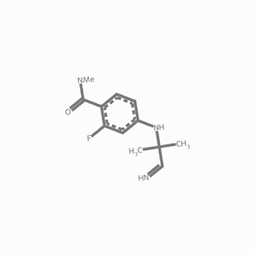 CNC(=O)c1ccc(NC(C)(C)C=N)cc1F